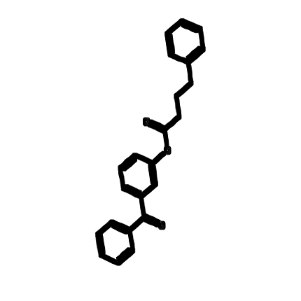 O=C(CCCc1ccccc1)Oc1cccc(C(=O)c2ccccc2)c1